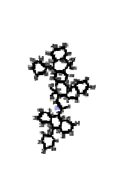 C=CC1=C(/C=C(\C)c2c3ccccc3c(-c3ccccc3)c3ccccc23)C(C)(C)c2cc3c(cc2N1c1ccccc1)C(C)(C)c1ccccc1N3c1ccccc1